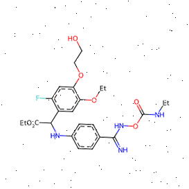 CCNC(=O)ONC(=N)c1ccc(NC(C(=O)OCC)c2cc(OCC)c(OCCO)cc2F)cc1